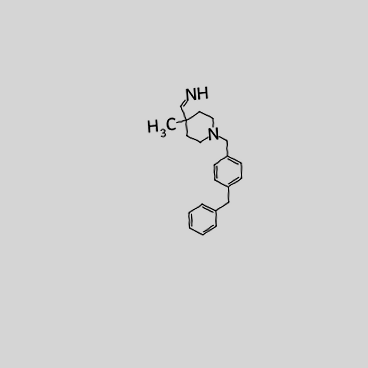 CC1(C=N)CCN(Cc2ccc(Cc3ccccc3)cc2)CC1